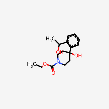 CCOC(=O)N1CCC(O)(c2ccccc2C(C)O)CC1